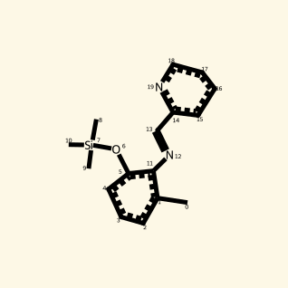 Cc1cccc(O[Si](C)(C)C)c1N=Cc1ccccn1